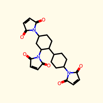 O=C1C=CC(=O)N1C1CCC(C2CCC(N3C(=O)C=CC3=O)CC2N2C(=O)C=CC2=O)CC1